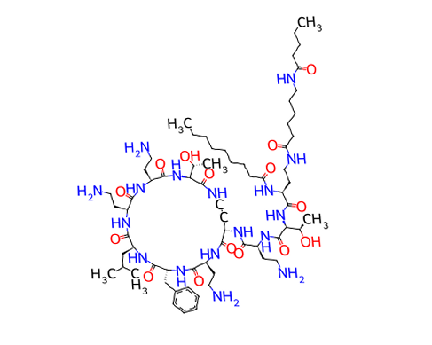 CCCCCCCCC(=O)N[C@@H](CCNC(=O)CCCCCNC(=O)CCCC)C(=O)N[C@H](C(=O)N[C@@H](CCN)C(=O)N[C@H]1CCNC(=O)[C@H]([C@@H](C)O)NC(=O)[C@H](CCN)NC(=O)[C@H](CCN)NC(=O)[C@H](CC(C)C)NC(=O)[C@@H](Cc2ccccc2)NC(=O)[C@H](CCN)NC1=O)[C@@H](C)O